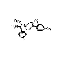 NC(c1ccc(F)cc1)C(C=O)N1CCC(c2ccc(O)cc2O)CC1